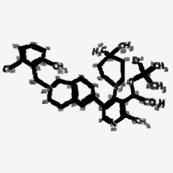 CCC(C)(C)OC(C(=O)O)c1c(C)ncc(-c2ccc3c(c2)CCN(Cc2c(C)cccc2Cl)C3)c1N1CCC(C)(C)CC1